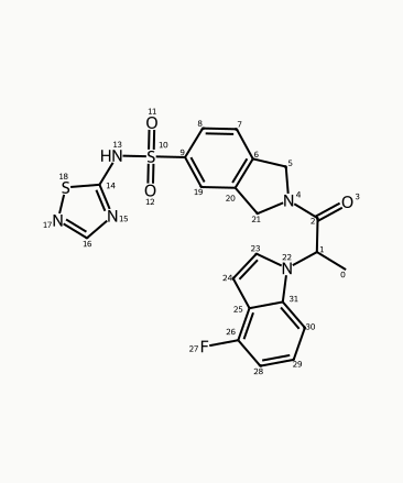 CC(C(=O)N1Cc2ccc(S(=O)(=O)Nc3ncns3)cc2C1)n1ccc2c(F)cccc21